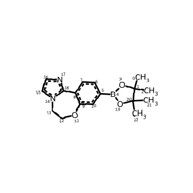 CC1(C)OB(c2ccc3c(c2)OCCn2ccnc2-3)OC1(C)C